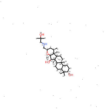 C[C@@H]1C[C@H](CNCC(C)(C)O)O[C@H]2[C@H]1[C@@]1(C)CC[C@@]34C[C@@]35CC[C@H](O)C(C)(C)C5CCC4[C@]1(C)[C@H]2O